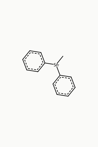 [CH3][Sn]([c]1ccccc1)[c]1ccccc1